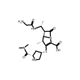 C[C@H]1C(S[C@@H]2CN[C@H](C(=O)N(C)C)C2)=C(C(=O)O)N2C(=O)[C@H]([C@@H](C)NC(=O)CN)C12